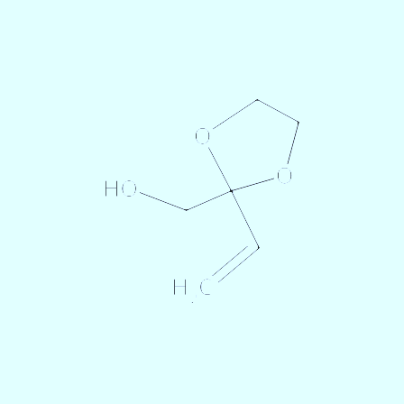 C=CC1(CO)OCCO1